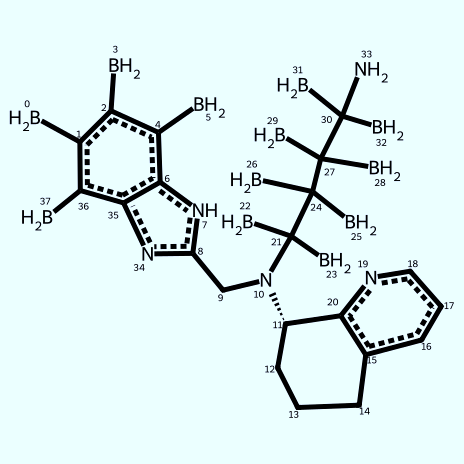 Bc1c(B)c(B)c2[nH]c(CN([C@H]3CCCc4cccnc43)C(B)(B)C(B)(B)C(B)(B)C(B)(B)N)nc2c1B